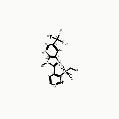 CCS(=O)(=O)c1nnccc1-c1nc2cc(C(F)(F)F)cnc2n1C